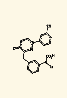 CCN(C(=O)O)c1cccc(Cc2nn(-c3cccc(C#N)c3)ccc2=O)c1